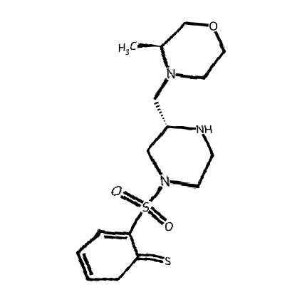 C[C@H]1COCCN1C[C@H]1CN(S(=O)(=O)C2=CC=CCC2=S)CCN1